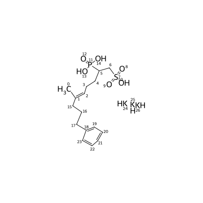 CC(=CCCC(CS(=O)(=O)O)P(=O)(O)O)CCCc1ccccc1.[KH].[KH].[KH]